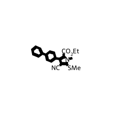 CCOC(=O)c1c(-c2ccc(-c3ccccc3)cc2)c(C#N)c(SC)n1C